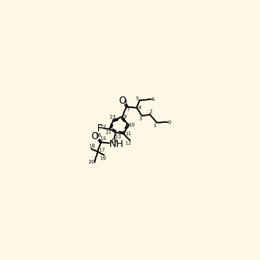 CCCCC(CC)C(=O)c1cc(C)c(NC(=O)C(C)(C)C)c(F)c1